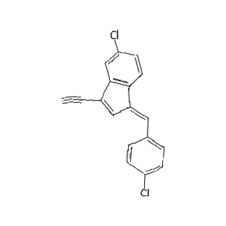 C#CC1=CC(=Cc2ccc(Cl)cc2)c2ccc(Cl)cc21